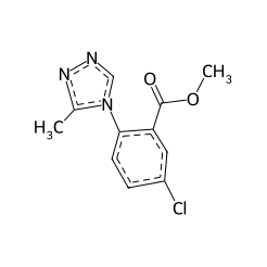 COC(=O)c1cc(Cl)ccc1-n1cnnc1C